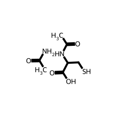 CC(=O)NC(CS)C(=O)O.CC(N)=O